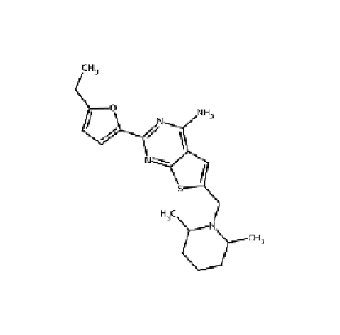 CCc1ccc(-c2nc(N)c3cc(CN4C(C)CCCC4C)sc3n2)o1